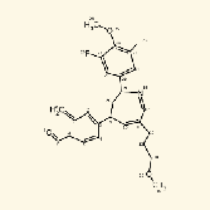 C=C/C=C(\C=C/CC=O)C1C=C(CCCOC)C=NC(c2cc(F)c(OC)c(F)c2)C1